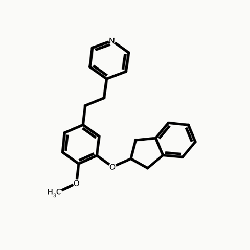 COc1ccc(CCc2ccncc2)cc1OC1Cc2ccccc2C1